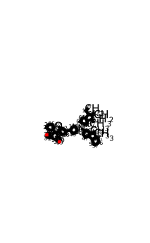 C=CC1=C(C=C)C(C)(C)c2cc(N(c3ccc(-c4ccc5c(c4)Oc4ccccc4C54c5ccccc5-c5ccccc54)cc3)c3ccc4c(c3)C(C)(C)c3ccccc3-4)ccc21